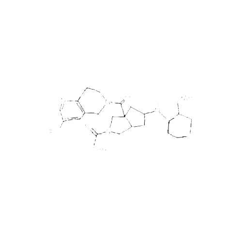 COC1COCCC1NC1CC2CN(C(=O)OCC(C)C)CC2(C(=O)N2CCc3ncc(C(F)(F)F)cc3C2)C1